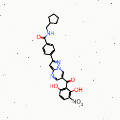 O=C(NCC1CCCC1)c1ccc(-c2cc3ncc(C(=O)c4c(O)ccc([N+](=O)[O-])c4O)cn3n2)cc1